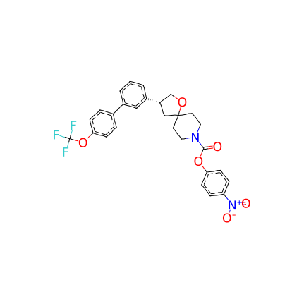 O=C(Oc1ccc([N+](=O)[O-])cc1)N1CCC2(CC1)C[C@H](c1cccc(-c3ccc(OC(F)(F)F)cc3)c1)CO2